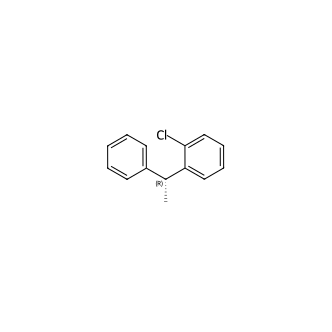 C[C@H](c1ccccc1)c1ccccc1Cl